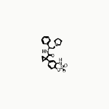 O=C(NC(CN1CCCC1)c1ccccc1)C1(c2ccc3c(c2)NS(=O)(=O)O3)CC1